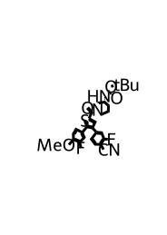 COc1ccc(-c2sc(C(=O)N3CCC[C@@H](NC(=O)OC(C)(C)C)C3)cc2-c2ccc(C#N)c(F)c2)cc1F